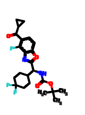 CC(C)(C)OC(=O)N[C@H](c1nc2c(F)c(C(=O)C3CC3)ccc2o1)C1CCC(F)(F)CC1